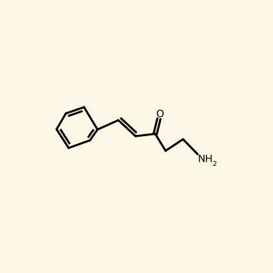 NCCC(=O)C=Cc1ccccc1